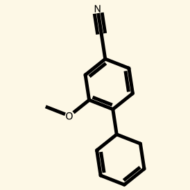 COc1cc(C#N)ccc1C1C=CC=CC1